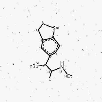 CCCCC(c1ccc2c(c1)CCS2)C(C)NCC